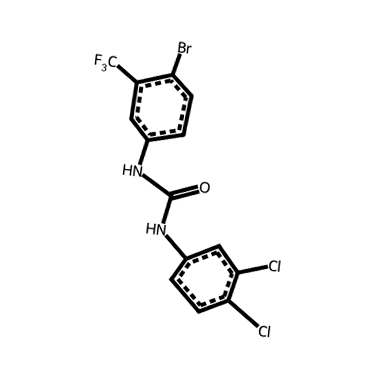 O=C(Nc1ccc(Cl)c(Cl)c1)Nc1ccc(Br)c(C(F)(F)F)c1